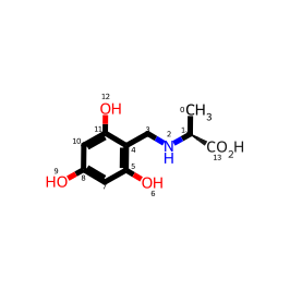 C[C@H](NCc1c(O)cc(O)cc1O)C(=O)O